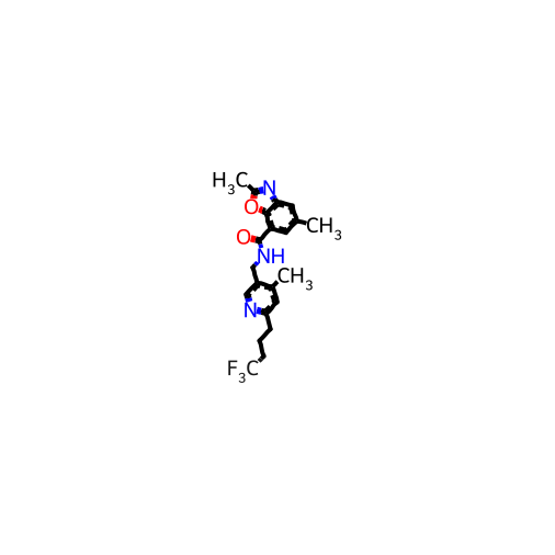 Cc1cc(C(=O)NCc2cnc(CCCC(F)(F)F)cc2C)c2oc(C)nc2c1